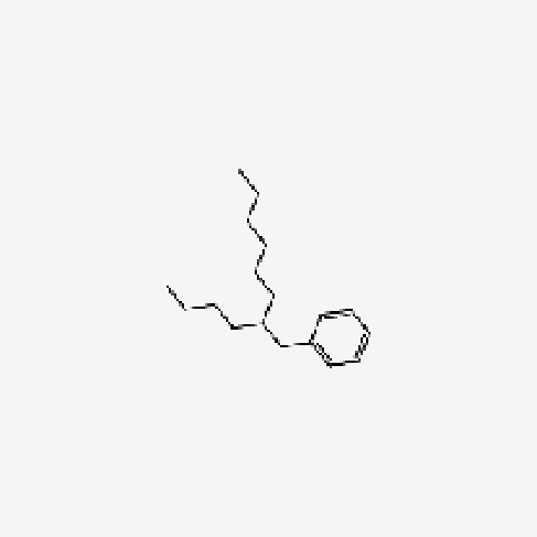 CCCCCCC(CCCC)Cc1[c]cccc1